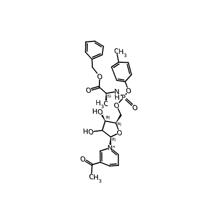 CC(=O)c1ccc[n+]([C@@H]2O[C@H](COP(=O)(N[C@@H](C)C(=O)OCc3ccccc3)Oc3ccc(C)cc3)[C@H](O)C2O)c1